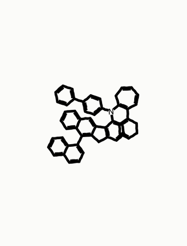 C1=CCCC(C2=C(N(c3ccc(-c4ccccc4)cc3)c3cccc4c3-c3cc5ccccc5c(-c5cccc6ccccc56)c3C4)CC=CC=C2)=C1